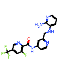 Nc1ncccc1NCc1cc(NC(=O)c2ncc(C(F)(F)F)cc2F)ccn1